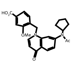 COc1cc(C(=O)O)ccc1Cn1ccc(=O)c2ccc(N(C(C)=O)C3CCCC3)cc21